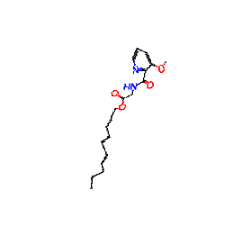 CCCCCCCCCCOC(=O)CNC(=O)c1ncccc1OC